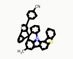 Cc1cc2c3c(c1)c1ccc4sc5ccccc5c4c1n3-c1ccccc1C21c2ccccc2-c2ccc(-c3ccc(C#N)cc3)cc21